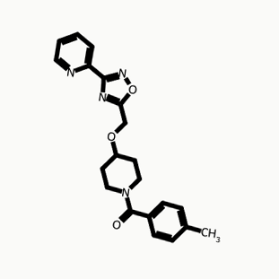 Cc1ccc(C(=O)N2CCC(OCc3nc(-c4ccccn4)no3)CC2)cc1